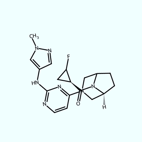 Cn1cc(Nc2nccc(N3CC4CC[C@@H](C3)N4C(=O)[C@H]3CC3F)n2)cn1